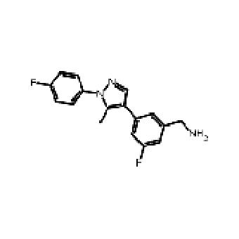 Cc1c(-c2cc(F)cc(CN)c2)cnn1-c1ccc(F)cc1